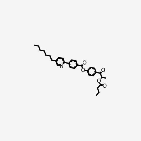 CCCCCCCc1ccc(-c2ccc(C(=O)Oc3ccc(C(=O)C(C)OC(=O)CCC)cc3)cc2)nc1